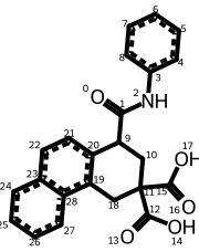 O=C(Nc1ccccc1)C1CC(C(=O)O)(C(=O)O)Cc2c1ccc1ccccc21